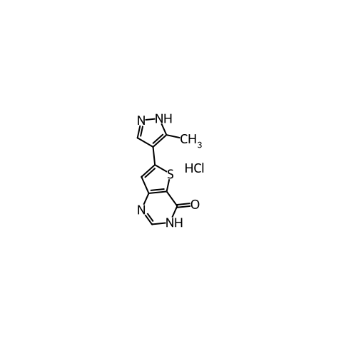 Cc1[nH]ncc1-c1cc2nc[nH]c(=O)c2s1.Cl